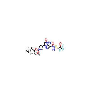 CC(C)(C)OC(=O)N1CCC(c2cc(=O)[nH]c3c(C(=O)NSCC(=O)C(F)(F)F)cnn23)CC1